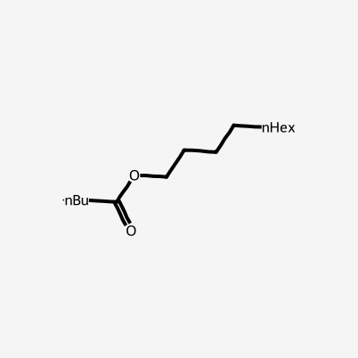 CCC[CH]C(=O)OCCCCCCCCCC